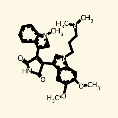 COc1cc2c(C3=C(c4cn(C)c5ccccc45)C(=O)NC3=O)cn(CCCN(C)C)c2cc1OC